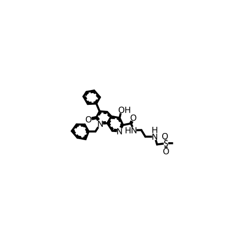 CS(=O)(=O)CNCCNC(=O)c1ncc2c(cc(-c3ccccc3)c(=O)n2Cc2ccccc2)c1O